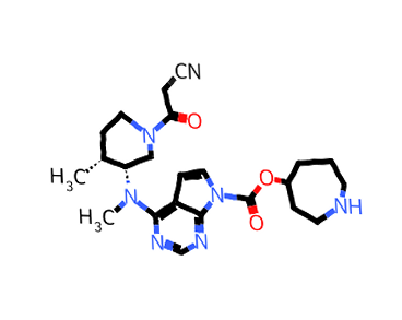 C[C@@H]1CCN(C(=O)CC#N)C[C@@H]1N(C)c1ncnc2c1ccn2C(=O)OC1CCCNCC1